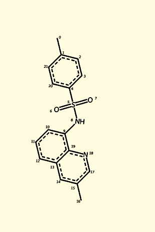 Cc1ccc(S(=O)(=O)Nc2cccc3cc(C)cnc23)cc1